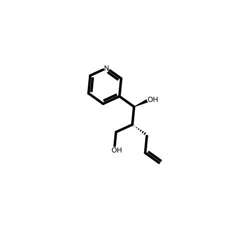 C=CC[C@H](CO)[C@H](O)c1cccnc1